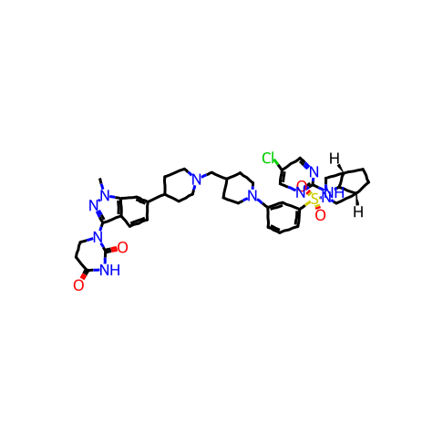 Cn1nc(N2CCC(=O)NC2=O)c2ccc(C3CCN(CC4CCN(c5cccc(S(=O)(=O)N6C[C@H]7CC[C@@H](C6)C7Nc6ncc(Cl)cn6)c5)CC4)CC3)cc21